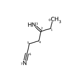 CCC(=N)CCC#N